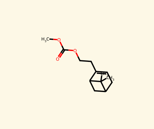 COC(=O)OCCC1=CCC2CC1C2(C)C